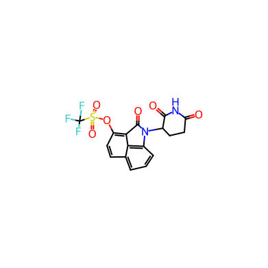 O=C1CCC(N2C(=O)c3c(OS(=O)(=O)C(F)(F)F)ccc4cccc2c34)C(=O)N1